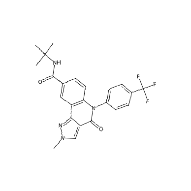 Cn1cc2c(=O)n(-c3ccc(C(F)(F)F)cc3)c3ccc(C(=O)NC(C)(C)C)cc3c2n1